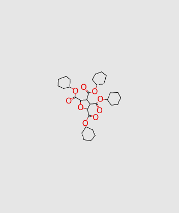 O=C(OC1CCCCC1)C1OC(C(=O)OC2CCCCC2)C(C(=O)OC2CCCCC2)C1C(=O)OC1CCCCC1